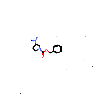 CN(C)[C@H]1CCN(C(=O)OCc2ccccc2)C1